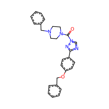 O=C(N1CCN(Cc2ccccc2)CC1)n1cnc(-c2ccc(OCc3ccccc3)cc2)n1